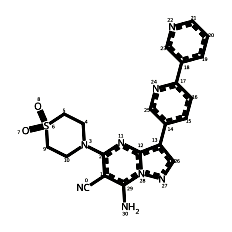 N#Cc1c(N2CCS(=O)(=O)CC2)nc2c(-c3ccc(-c4cccnc4)nc3)cnn2c1N